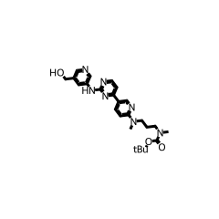 CN(CCCN(C)c1ccc(-c2ccnc(Nc3cncc(CO)c3)n2)cn1)C(=O)OC(C)(C)C